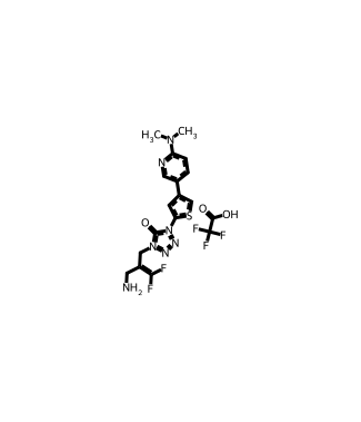 CN(C)c1ccc(-c2csc(-n3nnn(CC(CN)=C(F)F)c3=O)c2)cn1.O=C(O)C(F)(F)F